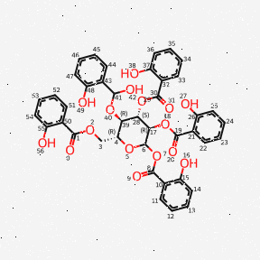 O=C(OC[C@H]1OC(OC(=O)c2ccccc2O)[C@H](OC(=O)c2ccccc2O)[C@@H](OC(=O)c2ccccc2O)[C@@H]1OC(O)c1ccccc1O)c1ccccc1O